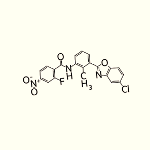 Cc1c(NC(=O)c2ccc([N+](=O)[O-])cc2F)cccc1-c1nc2cc(Cl)ccc2o1